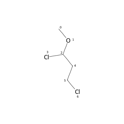 COC(Cl)CCCl